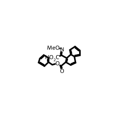 CON=C(C(=O)O)c1c(C(=O)OCc2ccccc2)ccc2ccccc12